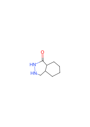 O=C1NNCC2CCCCC12